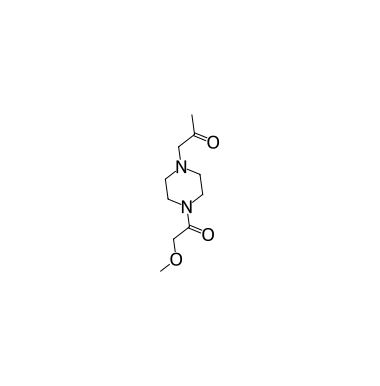 COCC(=O)N1CCN(CC(C)=O)CC1